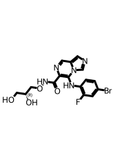 O=C(NOC[C@H](O)CO)c1ncc2cncn2c1Nc1ccc(Br)cc1F